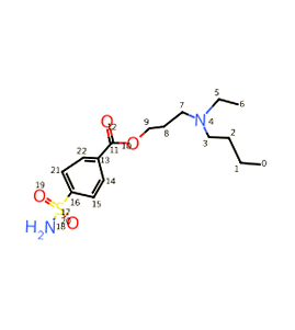 CCCCN(CC)CCCOC(=O)c1ccc(S(N)(=O)=O)cc1